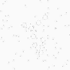 c1ccc(-c2ccc(-c3nc(-c4ccccc4)nc(-c4ccc(-c5cccc(-c6c7ncccc7nc7oc8ccccc8c67)c5)cc4)n3)cc2)cc1